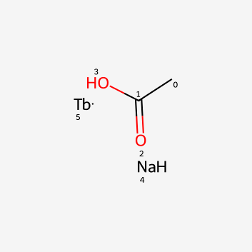 CC(=O)O.[NaH].[Tb]